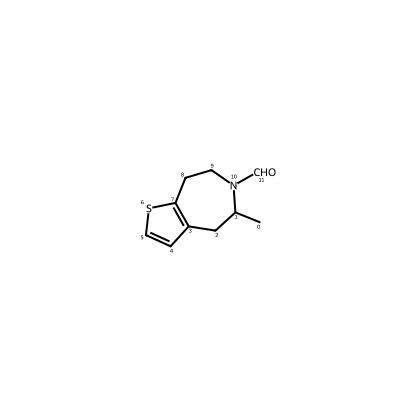 CC1Cc2ccsc2CCN1C=O